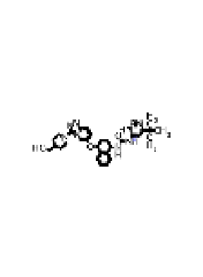 CN/C(=C\C(=N)C(C)(C)C)NC(=O)N[C@H]1CC[C@@H](Oc2ccc3nnc(N4CCC(CO)CC4)n3c2)c2ccccc21